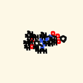 [2H]c1c(OC([2H])([2H])[2H])c(OC([2H])([2H])[2H])c([2H])c2c(N([2H])[2H])nc(N3C([2H])([2H])CN(C(=O)C4Oc5ccccc5OC4([2H])[2H])CC3([2H])[2H])nc12